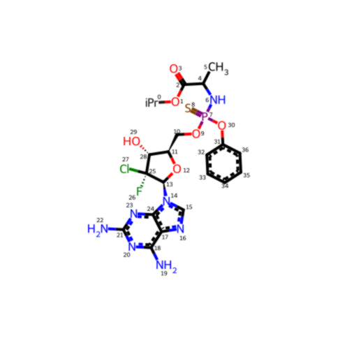 CC(C)OC(=O)C(C)NP(=S)(OC[C@H]1O[C@@H](n2cnc3c(N)nc(N)nc32)[C@@](F)(Cl)[C@@H]1O)Oc1ccccc1